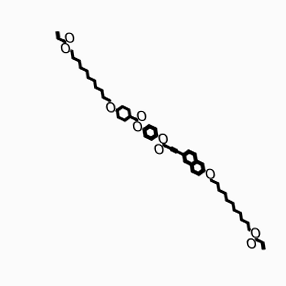 C=CC(=O)OCCCCCCCCCCCOc1ccc2cc(C#CC(=O)Oc3ccc(OC(=O)C4CCC(OCCCCCCCCCCCOC(=O)C=C)CC4)cc3)ccc2c1